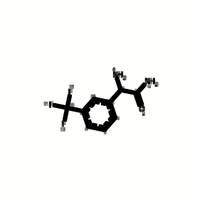 NC(=O)C(N)c1cccc(C(F)(F)F)c1